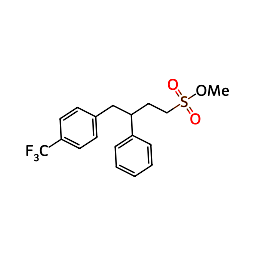 COS(=O)(=O)CCC(Cc1ccc(C(F)(F)F)cc1)c1ccccc1